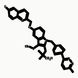 Cc1ccc(-c2ccc(Cn3c(CC(C)(C)C(=O)O)c(SC(C)(C)C)c4cc(OCc5ccc6cc(F)ccc6n5)ccc43)cc2)nn1